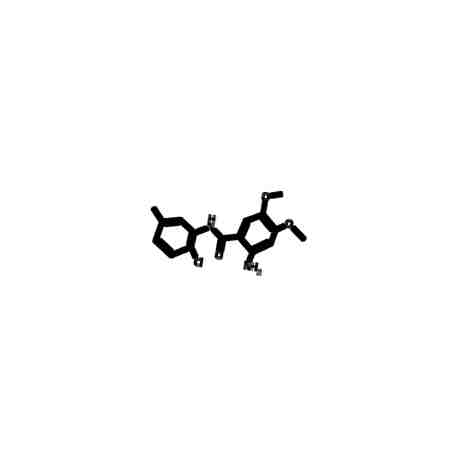 COc1cc(N)c(C(=O)Nc2cc(C)ccc2Cl)cc1OC